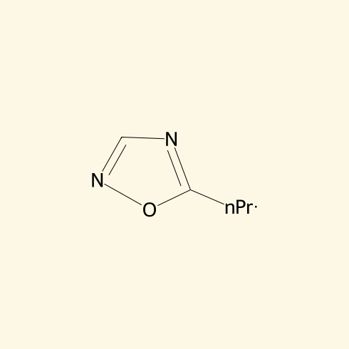 CC[CH]c1ncno1